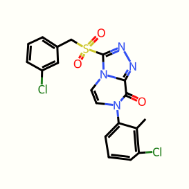 Cc1c(Cl)cccc1-n1ccn2c(S(=O)(=O)Cc3cccc(Cl)c3)nnc2c1=O